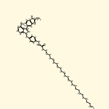 NCCOCCOCCOCCOCCOCCOCCOCCOCCC(=O)NCc1ccc(Cn2nc(-c3ccc4[nH]c(N)nc4c3)c3c(N)ncnc32)cc1